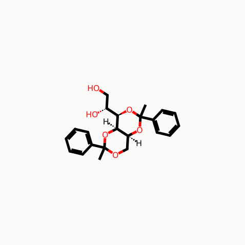 CC1(c2ccccc2)OC[C@@H]2OC(C)(c3ccccc3)O[C@H]([C@H](O)CO)[C@@H]2O1